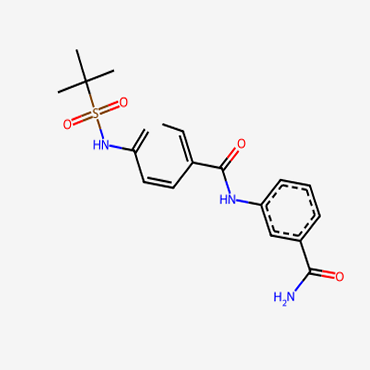 C=C(/C=C\C(=C/C)C(=O)Nc1cccc(C(N)=O)c1)NS(=O)(=O)C(C)(C)C